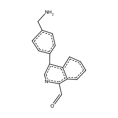 NCc1ccc(-c2cnc(C=O)c3ccccc23)cc1